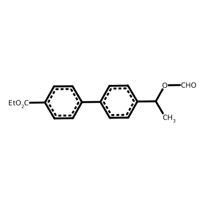 CCOC(=O)c1ccc(-c2ccc(C(C)OC=O)cc2)cc1